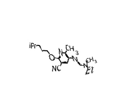 CCN(C)/C=N/c1cc(C#N)c(OCCCC(C)C)nc1C